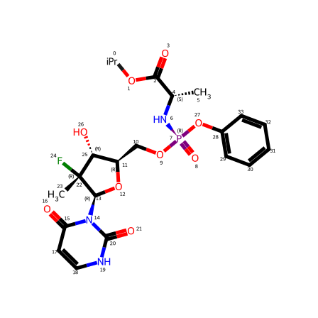 CC(C)OC(=O)[C@H](C)N[P@@](=O)(OC[C@H]1O[C@@H](n2c(=O)cc[nH]c2=O)[C@](C)(F)[C@@H]1O)Oc1ccccc1